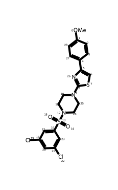 COc1ccc(-c2csc(N3CCN(S(=O)(=O)c4cc(Cl)cc(Cl)c4)CC3)n2)cc1